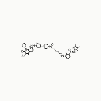 CC(=O)c1c(C)c2cnc(Nc3ccc(N4CCN(C(=O)CCCCCCNc5cccc(C(=O)Nc6nc(C)c(C)s6)c5C)CC4)cn3)nc2n(C2CCCC2)c1=O